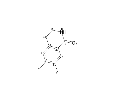 Cc1cc2c(cc1C)C(=O)NCC2